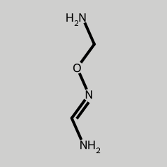 NC=NOCN